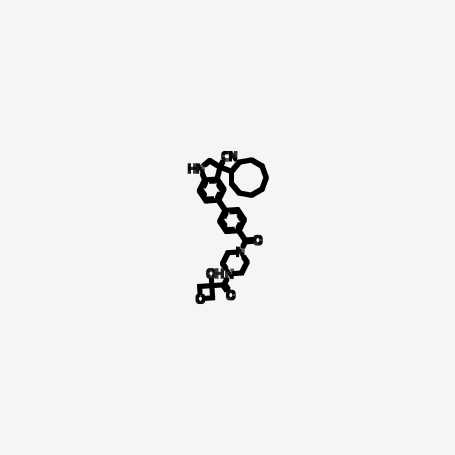 N#CC1(C2CCCCCCCC2)CNc2ccc(-c3ccc(C(=O)N4CCN(C(=O)C5(O)COC5)CC4)cc3)cc21